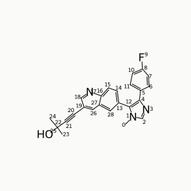 Cn1cnc(-c2ccc(F)cc2)c1-c1ccc2ncc(C#CC(C)(C)O)cc2c1